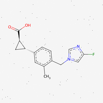 Cc1cc([C@@H]2C[C@H]2C(=O)O)ccc1Cn1cnc(F)c1